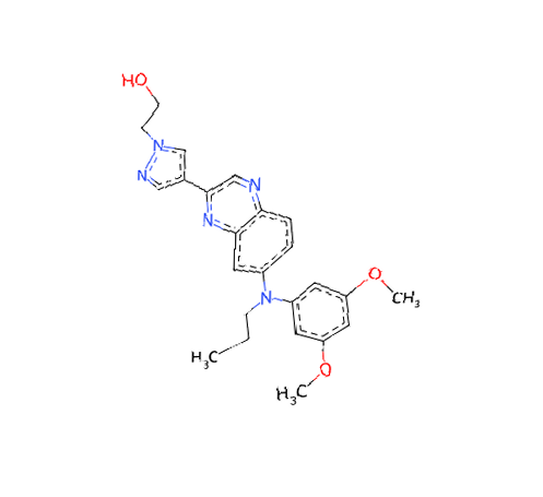 CCCN(c1cc(OC)cc(OC)c1)c1ccc2ncc(-c3cnn(CCO)c3)nc2c1